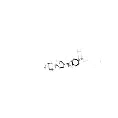 CN1CCN(c2ccc(-c3nc4ccc(NC(=O)O)cc4s3)cn2)CC1